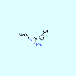 COCCN1C[C@@H](N)[C@H](c2ccc(F)c(C#N)c2)C1